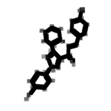 O=C(C=Cc1ccc(Cl)cc1)c1cn(-c2ccc(F)cc2)nc1-c1cccnc1